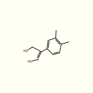 Cc1ccc(C(CO)=NO)cc1C